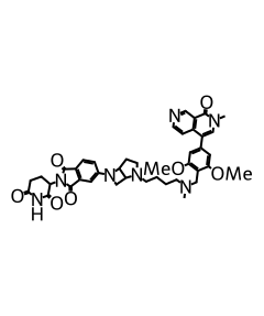 COc1cc(-c2cn(C)c(=O)c3cnccc23)cc(OC)c1CN(C)CCCCN1CCC2C1CN2c1ccc2c(c1)C(=O)N(C1CCC(=O)NC1=O)C2=O